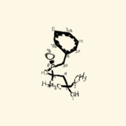 CC(C)(O)CC1(C)OP1(=O)Cc1ccccc1